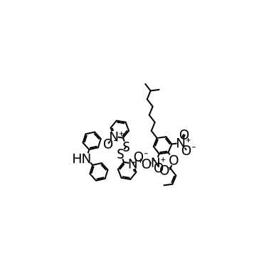 C/C=C\C(=O)Oc1c([N+](=O)[O-])cc(CCCCCC(C)C)cc1[N+](=O)[O-].[O-][n+]1ccccc1SSc1cccc[n+]1[O-].c1ccc(Nc2ccccc2)cc1